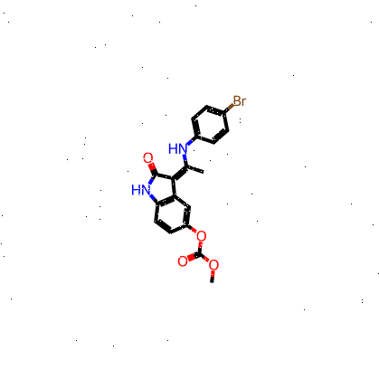 COC(=O)Oc1ccc2c(c1)/C(=C(\C)Nc1ccc(Br)cc1)C(=O)N2